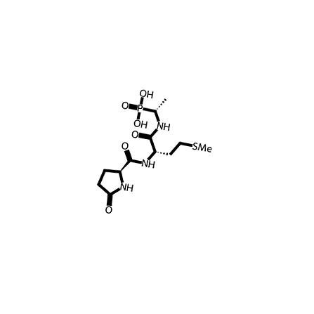 CSCC[C@H](NC(=O)[C@@H]1CCC(=O)N1)C(=O)N[C@@H](C)P(=O)(O)O